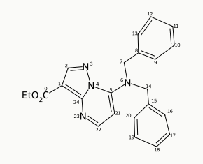 CCOC(=O)c1cnn2c(N(Cc3ccccc3)Cc3ccccc3)ccnc12